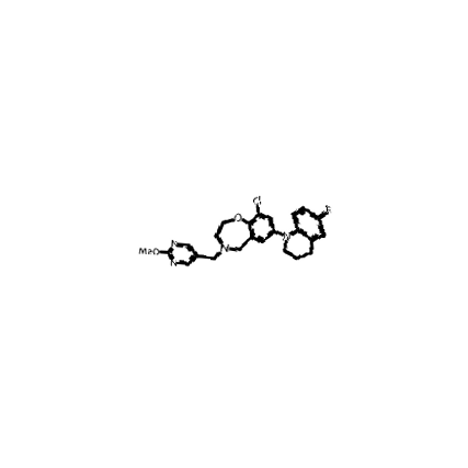 COc1ncc(CN2CCOc3c(Cl)cc(N4CCCc5cc(F)ccc54)cc3C2)cn1